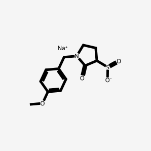 COc1ccc(CN2CCC(S(=O)[O-])C2=O)cc1.[Na+]